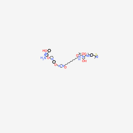 Cc1ncsc1-c1ccc(C(C)NC(=O)C2CC(O)CN2C(=O)C(NC(=O)CCCCCCCCCCC(=O)N2CCN(CCOc3ccc(N4CCCC(Oc5cc(-c6ccccc6O)nnc5N)C4)cc3)CC2)C(C)(C)C)cc1